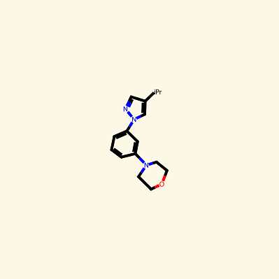 CC(C)c1cnn(-c2cccc(N3CCOCC3)c2)c1